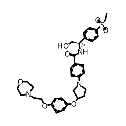 CCS(=O)(=O)c1ccc([C@H](CO)NC(=O)c2ccc(N3CCC(Oc4ccc(OCCN5CCOCC5)cc4)C3)cc2)cc1